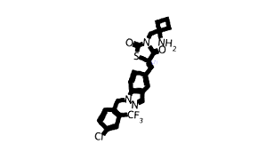 NC1(CN2C(=O)S/C(=C\c3ccc4c(cnn4Cc4ccc(Cl)cc4C(F)(F)F)c3)C2=O)CCC1